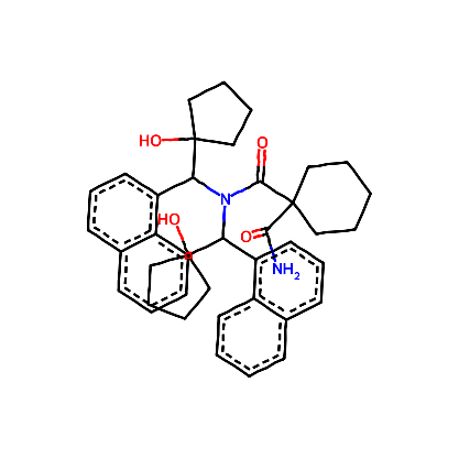 NC(=O)C1(C(=O)N(C(c2cccc3ccccc23)C2(O)CCCC2)C(c2cccc3ccccc23)C2(O)CCCC2)CCCCC1